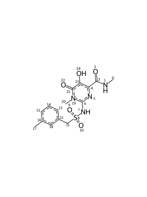 CNC(=O)c1nc(NS(=O)(=O)Cc2cccc(C)c2)n(C)c(=O)c1O